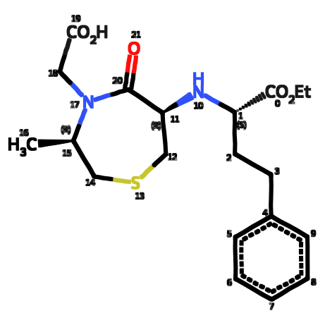 CCOC(=O)[C@H](CCc1ccccc1)N[C@H]1CSC[C@@H](C)N(CC(=O)O)C1=O